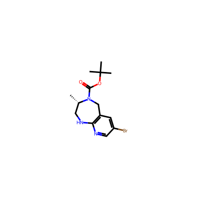 C[C@H]1CNc2ncc(Br)cc2CN1C(=O)OC(C)(C)C